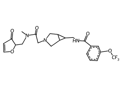 CN(CC1OC=CC1=O)C(=O)CN1CC2C(CNC(=O)c3cccc(OC(F)(F)F)c3)C2C1